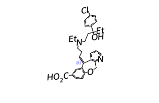 CCN(CC/C=C1/c2cc(C(=O)O)ccc2OCc2ncccc21)CCC(O)(CC)c1ccc(Cl)cc1